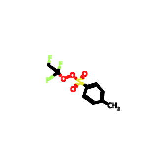 Cc1ccc(S(=O)(=O)OOC(F)(F)CF)cc1